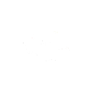 Sc1c(Br)ccc2ccoc12